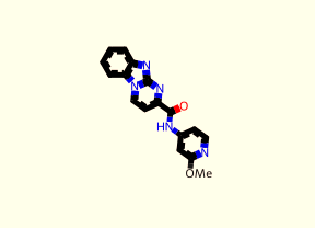 COc1cc(NC(=O)c2ccn3c(n2)nc2ccccc23)ccn1